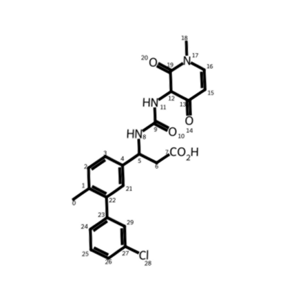 Cc1ccc(C(CC(=O)O)NC(=O)NC2C(=O)C=CN(C)C2=O)cc1-c1cccc(Cl)c1